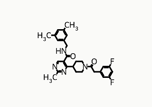 Cc1cc(C)cc(CNC(=O)c2cnc(C)nc2C2CCN(C(=O)Cc3cc(F)cc(F)c3)CC2)c1